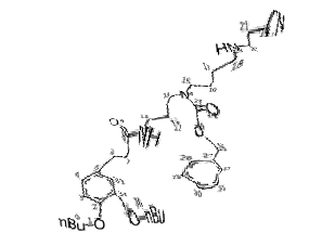 CCCCOc1ccc(CCC(=O)NCCCN(CCCCNCCC#N)C(=O)OCc2ccccc2)cc1OCCCC